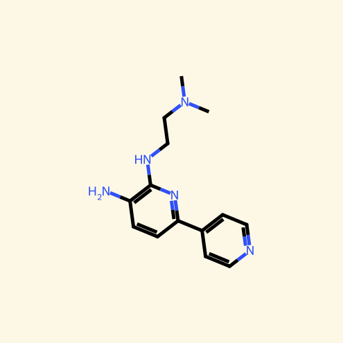 CN(C)CCNc1nc(-c2ccncc2)ccc1N